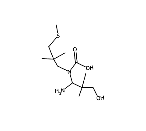 CSCC(C)(C)CN(C(=O)O)C(N)C(C)(C)CO